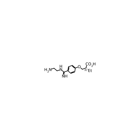 CC[C@H](COc1ccc(C(=N)NCCN)cc1)C(=O)O